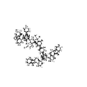 C=C/C=C\c1c(C)c(-c2nc(-c3ccccc3)nc(-c3cccc4oc5ccccc5c34)n2)cc2c1-c1cc(-c3ccc(-c4nc(-c5cccc6c5ccc5c7ccccc7sc65)nc(-c5cccc6c5ccc5c7ccccc7sc65)n4)cc3)ccc1C2(C)C